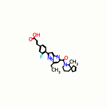 CCc1cc(C(=O)N2CCCC3(CC=CC3)C2C)nc2cc(-c3ccc(/C=C/C(=O)O)cc3F)nn12